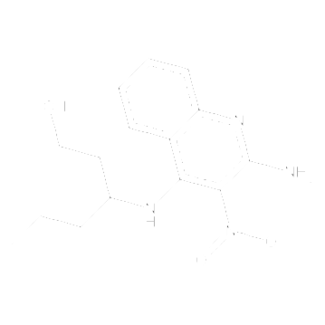 CCCC(CCO)Nc1c([N+](=O)[O-])c(N)nc2ccccc12